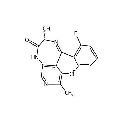 C[C@@H]1N=C(c2c(F)cccc2F)c2c(cnc(C(F)(F)F)c2Cl)NC1=O